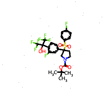 CC(C)(C)OC(=O)N1CCC(c2ccc(C(O)(C(F)(F)F)C(F)(F)F)c(F)c2)(S(=O)(=O)c2ccc(F)cc2)C1